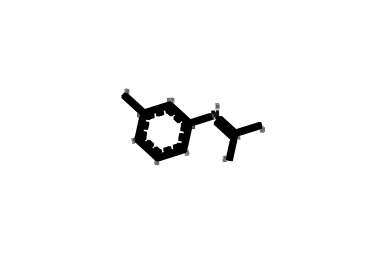 CC(C)=Nc1cccc(C)c1